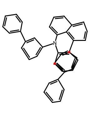 c1ccc(-c2ccc(-c3cccc4cccc(N(c5ccccc5)c5cccc(-c6ccccc6)c5)c34)cc2)cc1